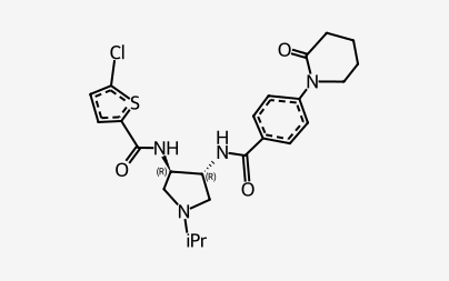 CC(C)N1C[C@@H](NC(=O)c2ccc(N3CCCCC3=O)cc2)[C@H](NC(=O)c2ccc(Cl)s2)C1